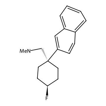 CNC[C@]1(c2ccc3ccccc3c2)CC[C@@H](F)CC1